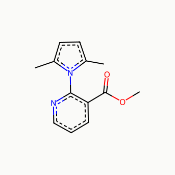 COC(=O)c1cccnc1-n1c(C)ccc1C